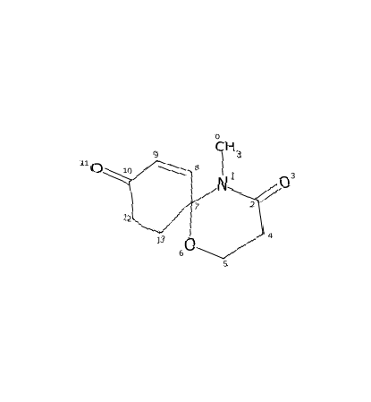 CN1C(=O)CCOC12C=CC(=O)CC2